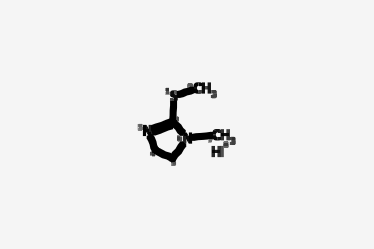 CSC1=NCCN1C.I